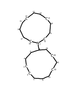 C1CCCCCC(N2CCCCCCCCCCC2)CCCCC1